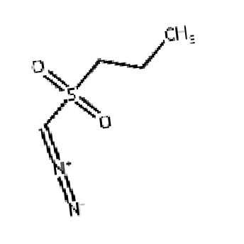 CCCS(=O)(=O)C=[N+]=[N-]